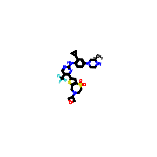 C[C@@H]1CN(c2ccc(Nc3ncc(C(F)(F)F)c(-c4cc5c(s4)CN(C4COC4)CCS5(=O)=O)n3)c(C3CC3)c2)CCN1